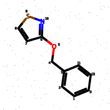 c1ccc(COc2ccsn2)cc1